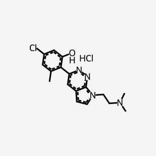 Cc1cc(Cl)cc(O)c1-c1cc2ccn(CCN(C)C)c2nn1.Cl